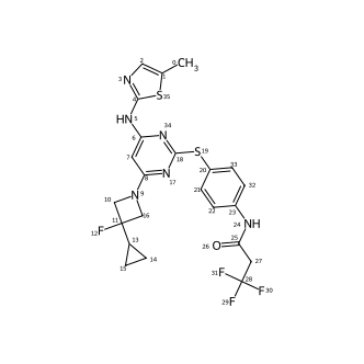 Cc1cnc(Nc2cc(N3CC(F)(C4CC4)C3)nc(Sc3ccc(NC(=O)CC(F)(F)F)cc3)n2)s1